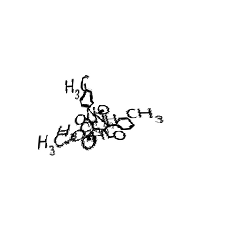 CCOC(=O)[C@@H]1[C@H]2COc3ccc(C)cc3[C@H]2N2C(=O)N(c3ccc(C)cc3)C(=O)[C@]12C